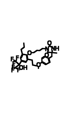 CCCc1cc(C(O)(C(F)(F)F)C(F)(F)F)cc(CCC)c1OCCCCN1C(=O)NC(C)(Cc2ccc(OC)cc2)C1=O